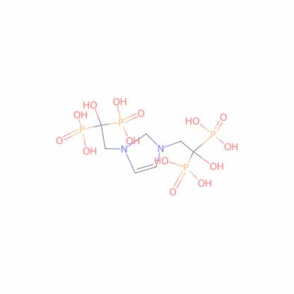 O=P(O)(O)C(O)(CN1C=CN(CC(O)(P(=O)(O)O)P(=O)(O)O)C1)P(=O)(O)O